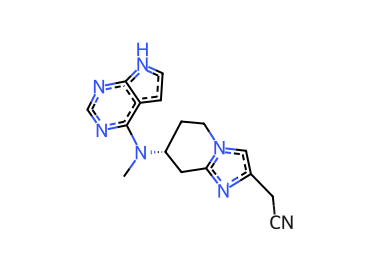 CN(c1ncnc2[nH]ccc12)[C@@H]1CCn2cc(CC#N)nc2C1